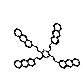 C(=Cc1nc(C=Cc2ccc3cc4ccccc4cc3c2)c(C=Cc2ccc3cc4ccccc4cc3c2)nc1C=Cc1ccc2cc3ccccc3cc2c1)c1ccc2cc3ccccc3cc2c1